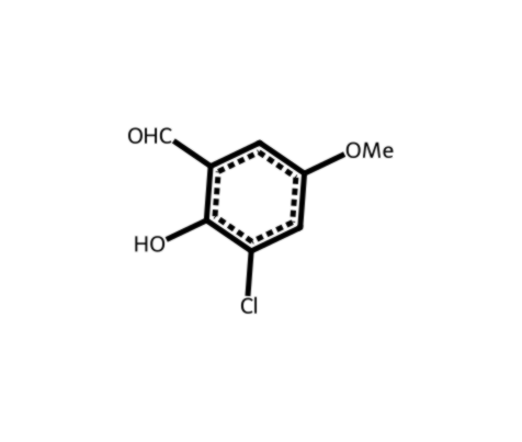 COc1cc(Cl)c(O)c(C=O)c1